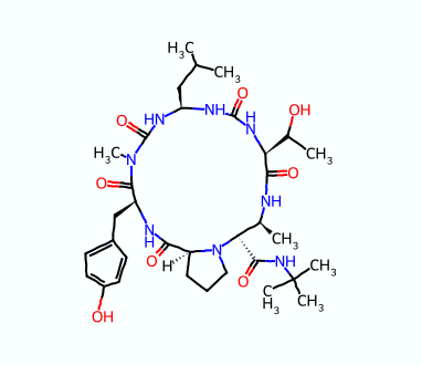 CC(C)C[C@H]1NC(=O)N[C@@H](C(C)O)C(=O)N[C@@H](C)[C@H](C(=O)NC(C)(C)C)N2CCC[C@H]2C(=O)N[C@@H](Cc2ccc(O)cc2)C(=O)N(C)C(=O)N1